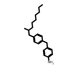 CCCCCCCC(C)Cc1ccc(Cc2ccc(N)cc2)cc1